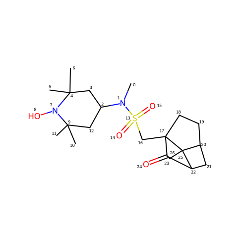 CN(C1CC(C)(C)N(O)C(C)(C)C1)S(=O)(=O)CC12CCC3CC(C1=O)C32C